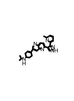 Cc1cccc(-c2n[nH]cc2-c2ccc3ncc(C4=CCC(NC(C)C)CC4)cc3n2)n1